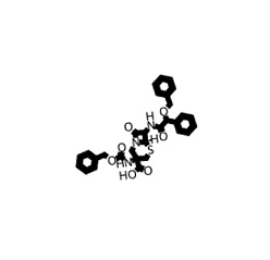 O=C(NC1(C(=O)O)CS[C@@H]2C(NC(=O)C(OCc3ccccc3)c3ccccc3)C(=O)N2C1)OCc1ccccc1